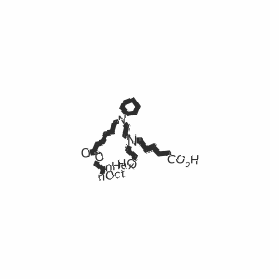 CCCCCCCCC(CCCCCC)COC(=O)CCCCCN(CCN(CCO)CCCCCC(=O)O)C1CCCCC1